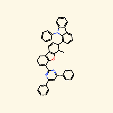 CC1c2oc3c(c2C=CC1c1cccc2c4ccccc4n(-c4ccccc4)c12)CCC=C3c1nc(-c2ccccc2)cc(-c2ccccc2)n1